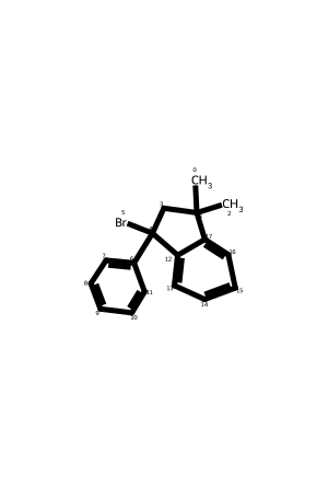 CC1(C)CC(Br)(c2ccccc2)c2ccccc21